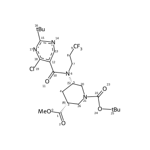 COC(=O)[C@@H]1C[C@H](N(CCC(F)(F)F)C(=O)c2cnc(C(C)(C)C)nc2Cl)CN(C(=O)OC(C)(C)C)C1